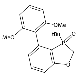 COc1cccc(OC)c1-c1cccc2c1P(=O)(C(C)(C)C)CO2